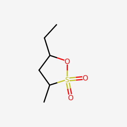 CCC1CC(C)S(=O)(=O)O1